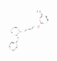 FC(F)(F)c1cccc(OCCCCN2CCCCC2Cc2ccccc2)c1